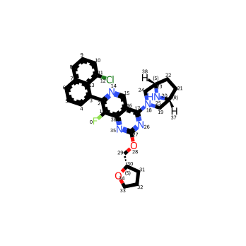 Fc1c(-c2cccc3cccc(Cl)c23)ncc2c(N3C[C@H]4CC[C@@H](C3)N4)nc(OC[C@@H]3CCCO3)nc12